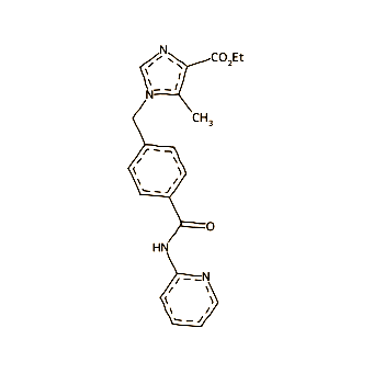 CCOC(=O)c1ncn(Cc2ccc(C(=O)Nc3ccccn3)cc2)c1C